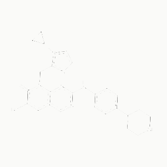 O=c1c(Br)cc2cnc(Nc3ccc(C4CCNCC4)cc3)nc2n1Cc1nccn1C1CC1